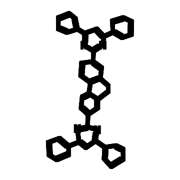 c1ccc(-c2cc(-c3ccccc3)nc(-c3ccc4c(c3)CCc3cc(-c5nc(-c6ccccc6)cc(-c6ccccc6)n5)ccc3-4)n2)cc1